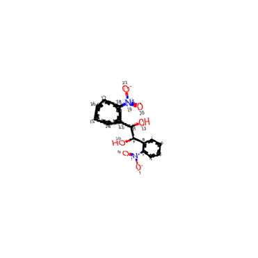 O=[N+]([O-])c1ccccc1C(O)C(O)c1ccccc1[N+](=O)[O-]